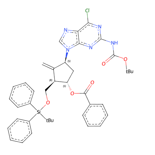 C=C1[C@H](CO[Si](c2ccccc2)(c2ccccc2)C(C)(C)C)[C@@H](OC(=O)c2ccccc2)C[C@@H]1n1cnc2c(Cl)nc(NC(=O)OC(C)(C)C)nc21